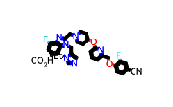 CCn1cncc1Cn1c(CN2CCC(Oc3cccc(COc4ccc(C#N)cc4F)n3)CC2)nc2c(F)cc(C(=O)O)cc21